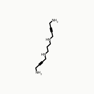 NCC#CCNCCCNCC#CCN